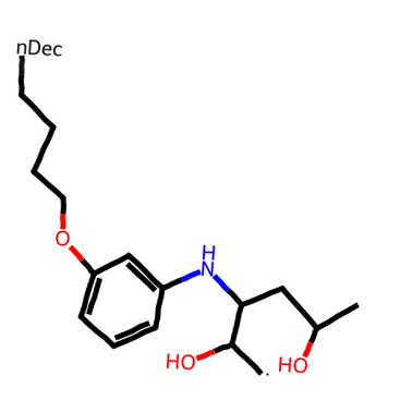 [CH2]C(O)C(CC(C)O)Nc1cccc(OCCCCCCCCCCCCCC)c1